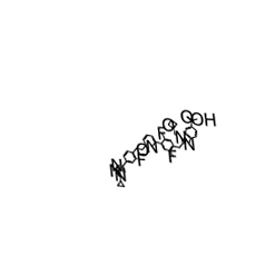 O=C(O)c1ccc2nc(Cc3cc(F)c(-c4cccc(OCc5ccc(-c6cn(C7CC7)nn6)cc5F)n4)cc3F)n(C[C@@H]3CCO3)c2c1